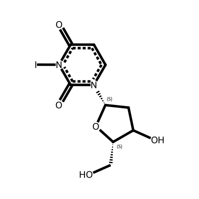 O=c1ccn([C@@H]2CC(O)[C@H](CO)O2)c(=O)n1I